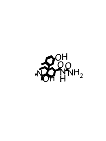 Cc1ccc(O)cc1C12CCN(C)C(C)C1(O)CCC(C(=O)NC(N)=O)C2